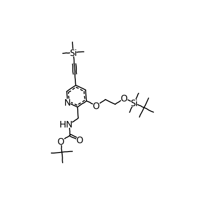 CC(C)(C)OC(=O)NCc1ncc(C#C[Si](C)(C)C)cc1OCCO[Si](C)(C)C(C)(C)C